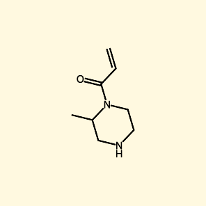 C=CC(=O)N1CCNCC1C